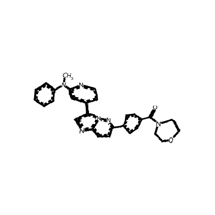 CN(c1ccccc1)c1cc(-c2cnc3ccc(-c4ccc(C(=O)N5CCOCC5)cc4)nn23)ccn1